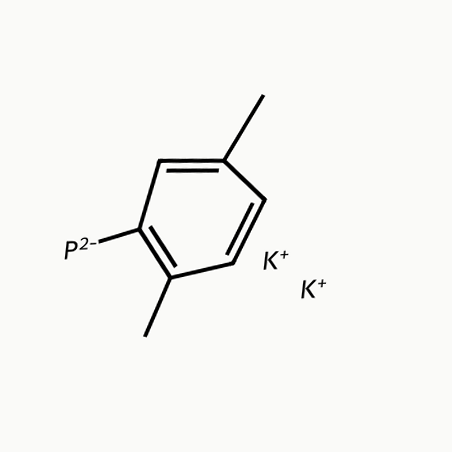 Cc1ccc(C)c([P-2])c1.[K+].[K+]